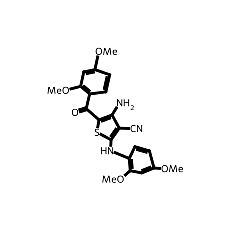 COc1ccc(Nc2sc(C(=O)c3ccc(OC)cc3OC)c(N)c2C#N)c(OC)c1